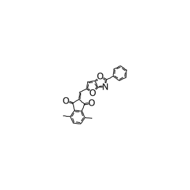 Cc1ccc(C)c2c1C(=O)C(=Cc1cc3oc(-c4ccccc4)nc3o1)C2=O